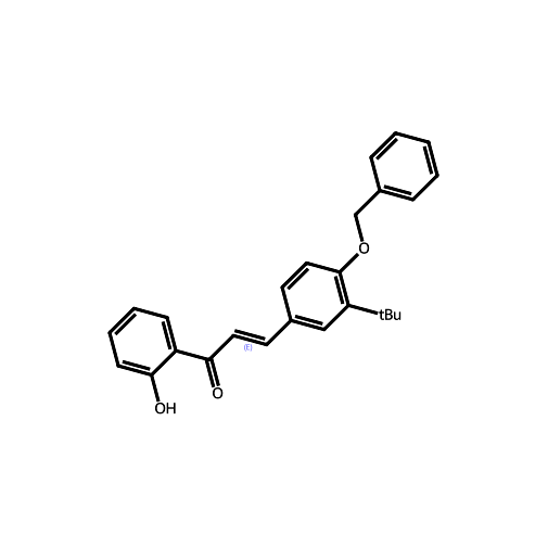 CC(C)(C)c1cc(/C=C/C(=O)c2ccccc2O)ccc1OCc1ccccc1